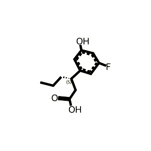 CCC[C@@H](CC(=O)O)c1cc(O)cc(F)c1